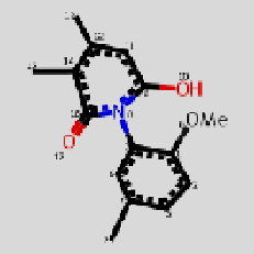 COc1ccc(C)cc1-n1c(O)cc(C)c(C)c1=O